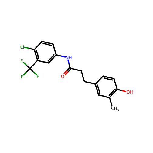 Cc1cc(CCC(=O)Nc2ccc(Cl)c(C(F)(F)F)c2)ccc1O